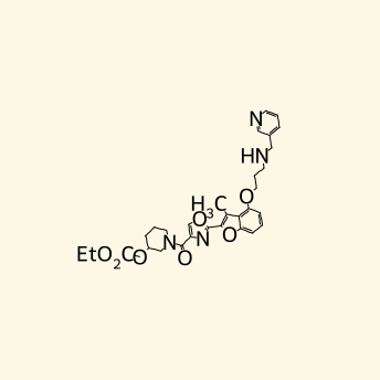 CCOC(=O)OC1CCCN(C(=O)c2coc(-c3oc4cccc(OCCCNCc5cccnc5)c4c3C)n2)C1